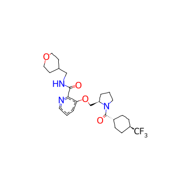 O=C(NCC1CCOCC1)c1ncccc1OC[C@H]1CCCN1C(=O)[C@H]1CC[C@H](C(F)(F)F)CC1